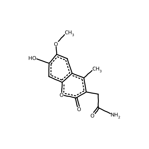 COc1cc2c(C)c(CC(N)=O)c(=O)oc2cc1O